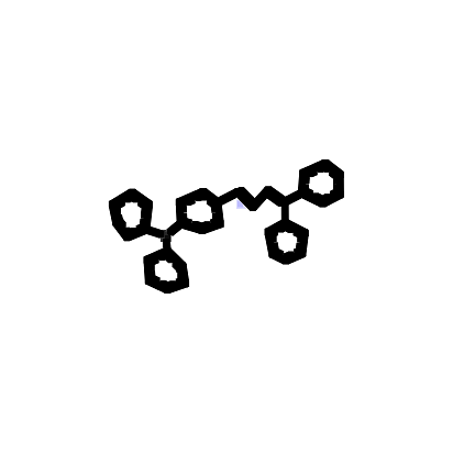 C(/C=C/c1ccc(N(c2ccccc2)c2ccccc2)cc1)=C(c1ccccc1)c1ccccc1